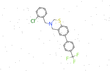 FC(F)(F)c1ccc(-c2ccc3c(c2)CN(Cc2ccccc2Cl)CS3)cc1